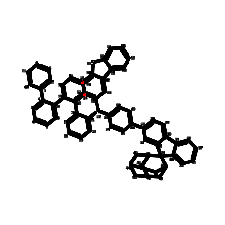 c1ccc(-c2ccccc2-c2ccccc2-c2ccccc2N(c2ccc(-c3ccc4c(c3)C3(c5ccccc5-4)C4CC5CC(C4)CC3C5)cc2)c2ccc3sc4ccccc4c3c2)cc1